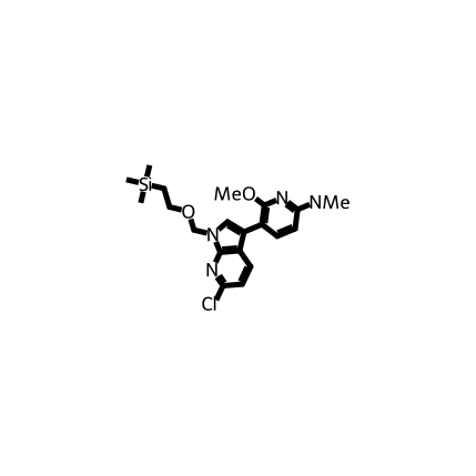 CNc1ccc(-c2cn(COCC[Si](C)(C)C)c3nc(Cl)ccc23)c(OC)n1